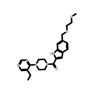 CCc1cncnc1N1CCN(C(=O)c2cc3ccc(COCCOC)cc3[nH]2)CC1